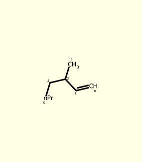 [CH]=CC(C)CCCC